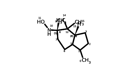 CC1CC[C@@H]2C1CC[C@](C)(NO)C2(C)C